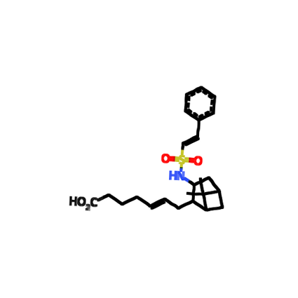 CC1(C)C2CC(NS(=O)(=O)C=Cc3ccccc3)C(C/C=C/CCCC(=O)O)C1C2